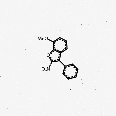 COc1cccc2c(-c3ccccc3)c([N+](=O)[O-])oc12